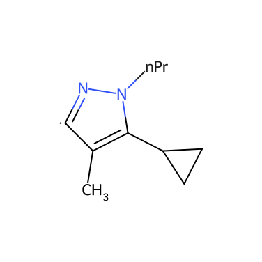 CCCn1n[c]c(C)c1C1CC1